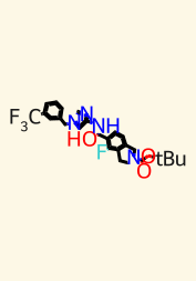 CC(C)(C)OC(=O)N1CCc2c(ccc(C(O)Nc3cn(Cc4cccc(C(F)(F)F)c4)cn3)c2F)C1